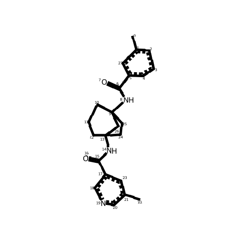 Cc1cccc(C(=O)NC23CCCC(NC(=O)c4cncc(C)c4)(CC2)C3)c1